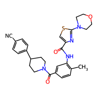 Cc1ccc(C(=O)N2CCC(c3ccc(C#N)cc3)CC2)cc1NC(=O)c1csc(N2CCOCC2)n1